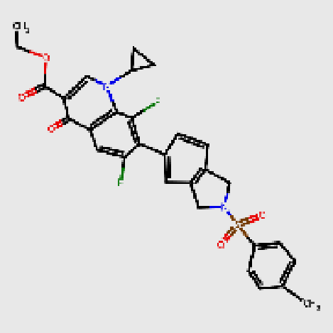 CCOC(=O)c1cn(C2CC2)c2c(F)c(-c3ccc4c(c3)CN(S(=O)(=O)c3ccc(C)cc3)C4)c(F)cc2c1=O